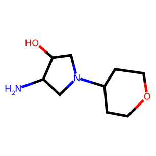 NC1CN(C2CCOCC2)CC1O